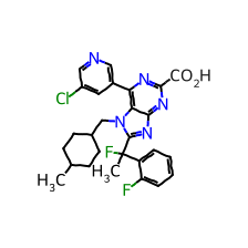 CC1CCC(Cn2c(C(C)(F)c3ccccc3F)nc3nc(C(=O)O)nc(-c4cncc(Cl)c4)c32)CC1